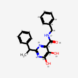 CC(c1ccccc1)c1nc(O)c(O)c(C(=O)NCc2ccccc2)n1